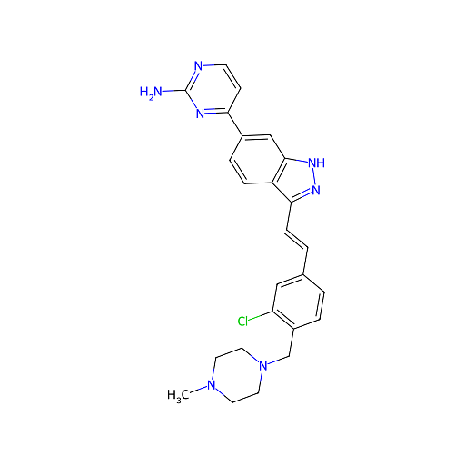 CN1CCN(Cc2ccc(C=Cc3n[nH]c4cc(-c5ccnc(N)n5)ccc34)cc2Cl)CC1